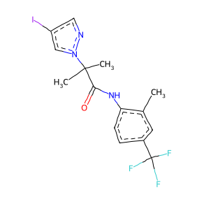 Cc1cc(C(F)(F)F)ccc1NC(=O)C(C)(C)n1cc(I)cn1